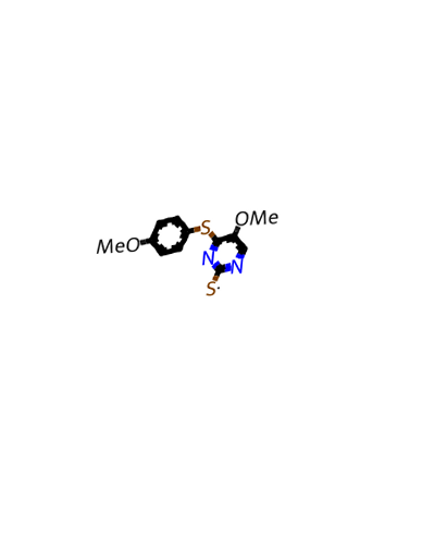 COc1ccc(Sc2nc([S])ncc2OC)cc1